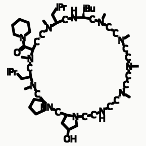 CC[C@H](C)C1CN(C)CCN(C)CCN(C)CCN(C)CCNCCN2CC(O)CC2CNC2(CCCC2)CN(C)C(CC(C)C)CN(C)C(C(=O)N2CCCCC2)CCN(C)C(CC(C)C)CN1